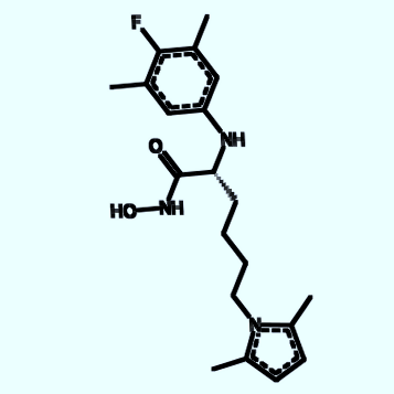 Cc1cc(N[C@H](CCCCn2c(C)ccc2C)C(=O)NO)cc(C)c1F